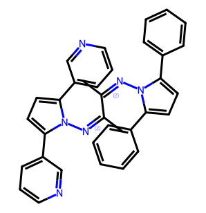 CC(=N/n1c(-c2ccccc2)ccc1-c1ccccc1)/C(C)=N\n1c(-c2cccnc2)ccc1-c1cccnc1